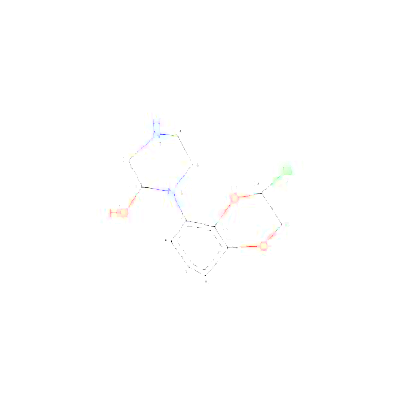 OC1CNCCN1c1cccc2c1OC(Cl)CO2